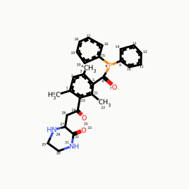 Cc1cc(C)c(C(=O)P(c2ccccc2)c2ccccc2)c(C)c1C(=O)CC1NCCNC1=O